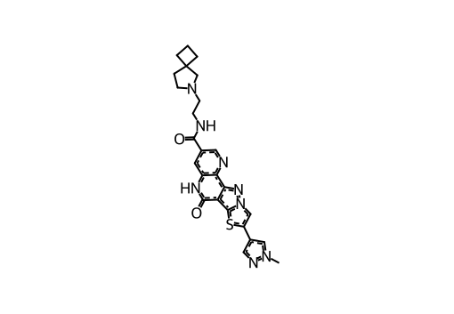 Cn1cc(-c2cn3nc4c5ncc(C(=O)NCCN6CCC7(CCC7)C6)cc5[nH]c(=O)c4c3s2)cn1